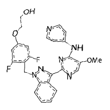 COc1cnc(-c2nn(Cc3c(F)cc(OCCO)cc3F)c3ccccc23)nc1Nc1ccncc1